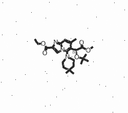 CCOC(=O)c1cn2c(N3CCC(C)(C)CC3)c([C@H](OC(C)(C)C)C(=O)OC)c(C)cc2n1